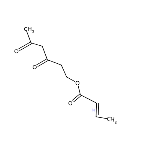 C/C=C/C(=O)OCCC(=O)CC(C)=O